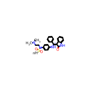 CCCS(=O)(=O)N(CCN(C)C)c1ccc(N/C(=C2\C(=O)Nc3ccccc32)c2ccccc2)cc1